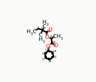 CCC(C)(C)C(=O)OC(C)C(=O)Oc1ccccc1